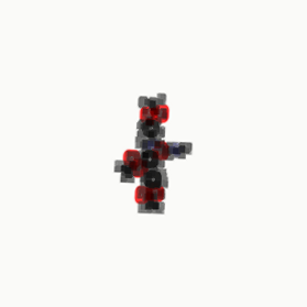 C=C(C)C(=O)Oc1ccc(/C(C)=C(\C)c2cc(OC(=O)C(=C)C)c(-c3ccc(OC(=O)C(=C)C)cc3)cc2OC/C=C/C)cc1